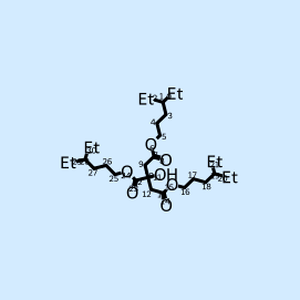 CCC(CC)CCCOC(=O)CC(O)(CC(=O)OCCCC(CC)CC)C(=O)OCCCC(CC)CC